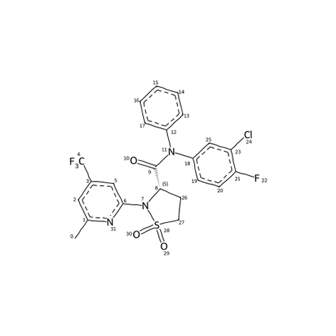 Cc1cc(C(F)(F)F)cc(N2[C@H](C(=O)N(c3ccccc3)c3ccc(F)c(Cl)c3)CCS2(=O)=O)n1